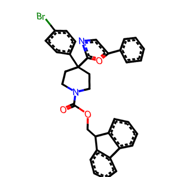 O=C(OCC1c2ccccc2-c2ccccc21)N1CCC(c2ccc(Br)cc2)(c2ncc(-c3ccccc3)o2)CC1